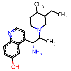 CCC1CN(C(C)[C@H](N)c2ccnc3ccc(O)cc23)CCC1C